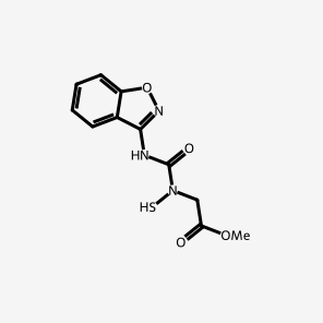 COC(=O)CN(S)C(=O)Nc1noc2ccccc12